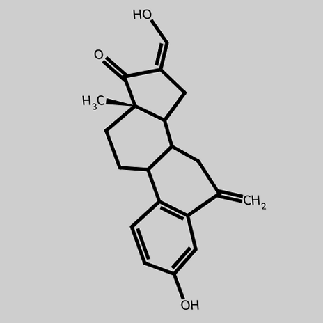 C=C1CC2C(CC[C@]3(C)C(=O)/C(=C\O)CC23)c2ccc(O)cc21